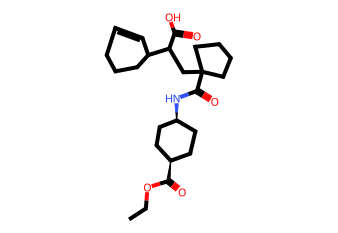 CCOC(=O)[C@H]1CC[C@@H](NC(=O)C2(CC(C(=O)O)C3C=CCCC3)CCCC2)CC1